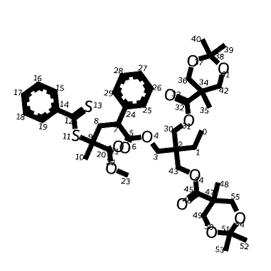 CCC(COC(=O)C(CC(C)(SC(=S)c1ccccc1)C(=O)OC)c1ccccc1)(COC(=O)C1(C)COC(C)(C)OC1)COC(=O)C1(C)COC(C)(C)OC1